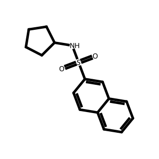 O=S(=O)(NC1CCCC1)c1ccc2ccccc2c1